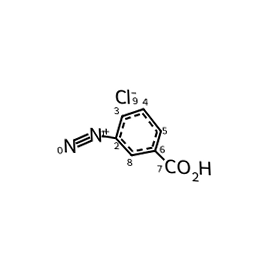 N#[N+]c1cccc(C(=O)O)c1.[Cl-]